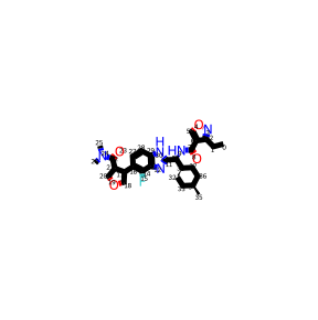 CCc1nocc1C(=O)N[C@H](c1nc2c(F)c(C3COCC3C(=O)N(C)C)ccc2[nH]1)[C@H]1CC[C@H](C)CC1